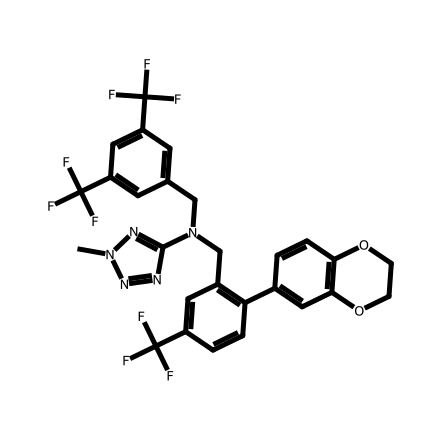 Cn1nnc(N(Cc2cc(C(F)(F)F)cc(C(F)(F)F)c2)Cc2cc(C(F)(F)F)ccc2-c2ccc3c(c2)OCCO3)n1